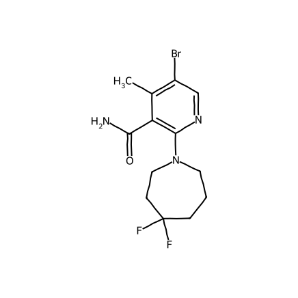 Cc1c(Br)cnc(N2CCCC(F)(F)CC2)c1C(N)=O